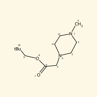 CN1CCN(CC(=O)OCC(C)(C)C)CC1